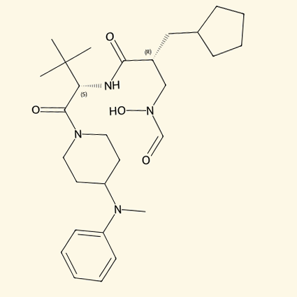 CN(c1ccccc1)C1CCN(C(=O)[C@@H](NC(=O)[C@H](CC2CCCC2)CN(O)C=O)C(C)(C)C)CC1